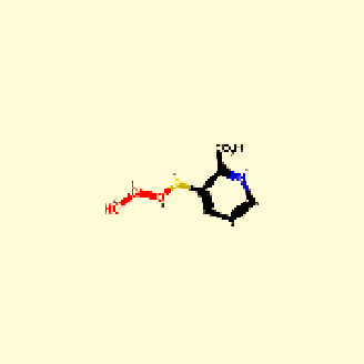 O=C(O)c1ncccc1SOOO